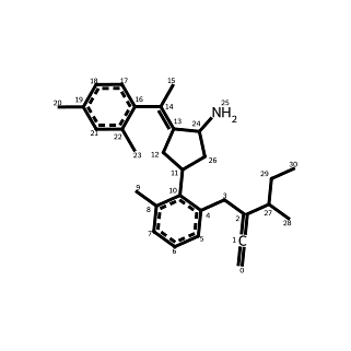 C=C=C(Cc1cccc(C)c1C1C/C(=C(/C)c2ccc(C)cc2C)C(N)C1)C(C)CC